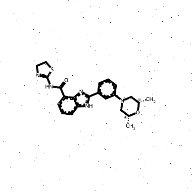 C[C@@H]1CN(c2cccc(-c3nc4c(C(=O)NC5=NCCS5)cccc4[nH]3)c2)C[C@H](C)O1